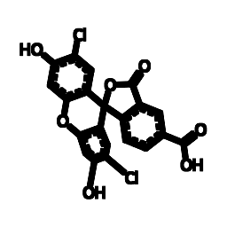 O=C(O)c1ccc2c(c1)C(=O)OC21c2cc(Cl)c(O)cc2Oc2cc(O)c(Cl)cc21